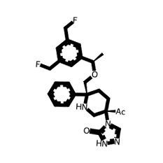 CC(=O)[C@]1(n2cn[nH]c2=O)CC[C@@](CO[C@H](C)c2cc(CF)cc(CF)c2)(c2ccccc2)NC1